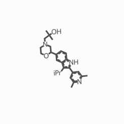 Cc1cc(-c2[nH]c3ccc(C4CN(CC(C)(C)O)CCO4)cc3c2C(C)C)cc(C)n1